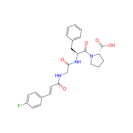 O=C(/C=C/c1ccc(F)cc1)NCC(=O)N[C@@H](Cc1ccccc1)C(=O)N1CCC[C@H]1C(=O)O